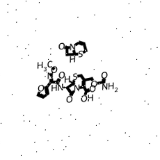 CO/N=C(\C(=O)N[C@@H]1C(=O)N2C(C(=O)O)=C(COC(N)=O)CS[C@@H]12)c1ccco1.O=C1C[C@@H]2SCC=CN12